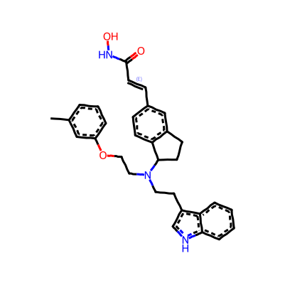 Cc1cccc(OCCN(CCc2c[nH]c3ccccc23)C2CCc3cc(/C=C/C(=O)NO)ccc32)c1